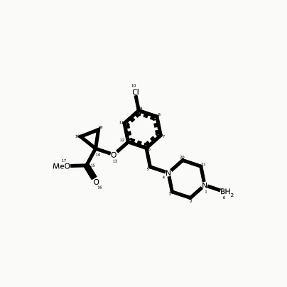 BN1CCN(Cc2ccc(Cl)cc2OC2(C(=O)OC)CC2)CC1